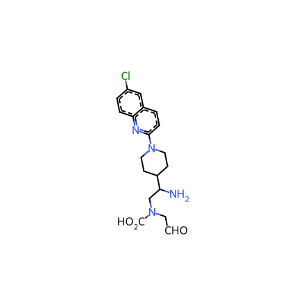 NC(CN(CC=O)C(=O)O)C1CCN(c2ccc3cc(Cl)ccc3n2)CC1